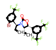 C=C[C@@H](c1cc(C(F)(F)F)ccc1Br)N1C(=O)O[C@H](c2cc(C(F)(F)F)cc(C(F)(F)F)c2)[C@@H]1C=C